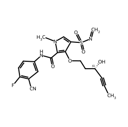 C=NS(=O)(=O)c1cn(C)c(C(=O)Nc2ccc(F)c(C#N)c2)c1OCC[C@H](O)C#CC